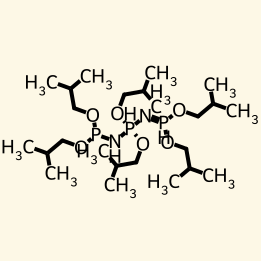 CC(C)COP(N[PH](N=[PH](OCC(C)C)OCC(C)C)(OCC(C)C)OCC(C)C)OCC(C)C